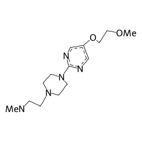 CNCCN1CCN(c2ncc(OCCOC)cn2)CC1